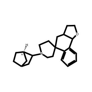 c1ccc2c(c1)C1OCCC1CC21CCN(C2CC3CC[C@@H]2C3)CC1